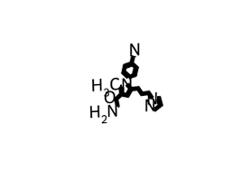 Cc1c(C(=O)CN)cc(CCCn2cccn2)n1-c1ccc(C#N)cc1